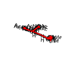 COc1ccc(C(OCC2(C)CN(C(=O)CCCCCCCCCNCCCCCCCCCCCC(=O)NCC(=O)Nc3cc(C(=O)NCCOCCOCCOC4O[C@@H](COC(C)=O)[C@@H](OC(C)=O)[C@@H](OC(C)=O)[C@@H]4NC(C)=O)cc(C(=O)NCCOCCOCCOC4O[C@H](COC(C)=O)[C@H](OC(C)=O)[C@H](OC(C)=O)[C@H]4NC(C)=O)c3)CC2(C)CO)(c2ccccc2)c2ccc(OC)cc2)cc1